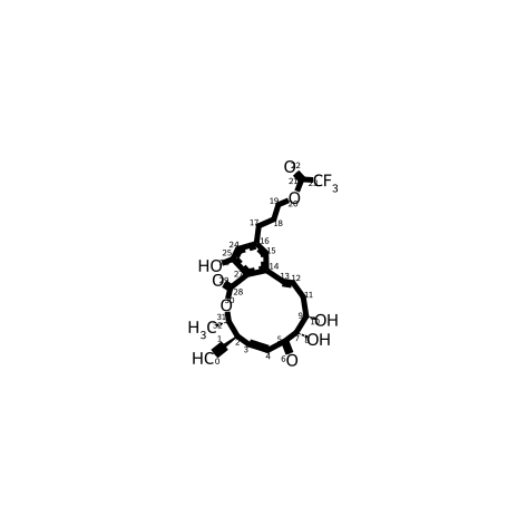 C#C[C@@H]1/C=C\C(=O)[C@@H](O)[C@@H](O)C/C=C/c2cc(CCCOC(=O)C(F)(F)F)cc(O)c2C(=O)O[C@H]1C